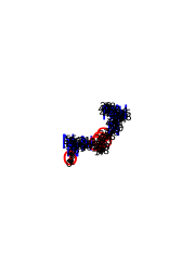 CCOCCn1cc(C2CCN(CCOc3ccccc3C(=O)OC(=O)CCCN3CCC(c4cn(Cc5ccccn5)c5ncccc45)CC3)CC2)c2ccncc21